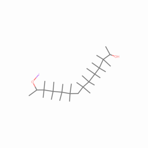 CC(OI)C(C)(C)C(C)(C)C(C)(C)C(C)(C)CC(C)(C)C(C)(C)C(C)(C)C(C)(C)C(C)(C)C(C)O